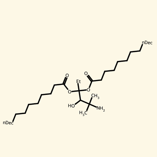 CCCCCCCCCCCCCCCCCC(=O)OC(CC)(OC(=O)CCCCCCCCCCCCCCCCC)C(O)C(C)(C)N